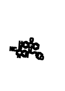 N#Cc1cnc2cnc(NCCN3CCOCC3)cc2c1Nc1ccc(C(=O)c2ccccc2)cc1